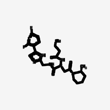 C[C@H]1CCCCN1C(=O)CN(NC(=O)CCC(C)(C)C)C(=O)NCc1ncc(-c2ccc(F)cc2F)[nH]1